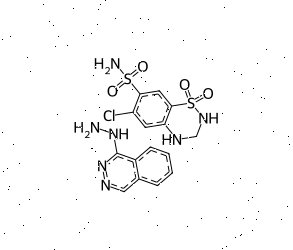 NNc1nncc2ccccc12.NS(=O)(=O)c1cc2c(cc1Cl)NCNS2(=O)=O